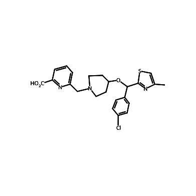 Cc1csc(C(OC2CCN(Cc3cccc(C(=O)O)n3)CC2)c2ccc(Cl)cc2)n1